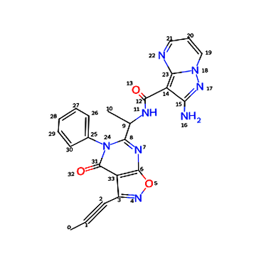 CC#Cc1noc2nc(C(C)NC(=O)c3c(N)nn4cccnc34)n(-c3ccccc3)c(=O)c12